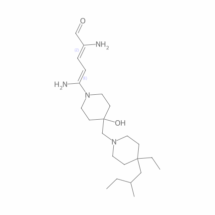 CCC(C)CC1(CC)CCN(CC2(O)CCN(/C(N)=C/C=C(\N)C=O)CC2)CC1